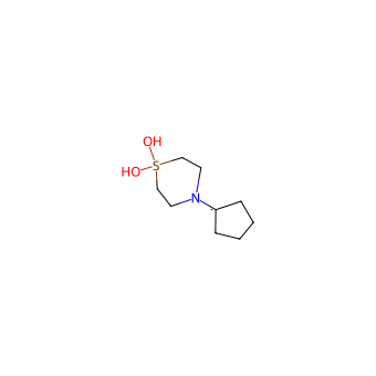 OS1(O)CCN([C]2CCCC2)CC1